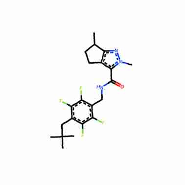 CC1CCc2c1nn(C)c2C(=O)NCc1c(F)c(F)c(CC(C)(C)C)c(F)c1F